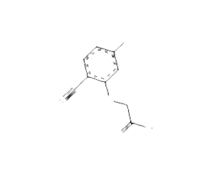 N#Cc1ccc(Cl)cc1OCC(=O)O